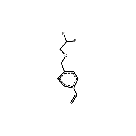 C=Cc1ccc(COCC(F)F)cc1